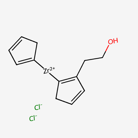 OCCC1=[C]([Zr+2][C]2=CC=CC2)CC=C1.[Cl-].[Cl-]